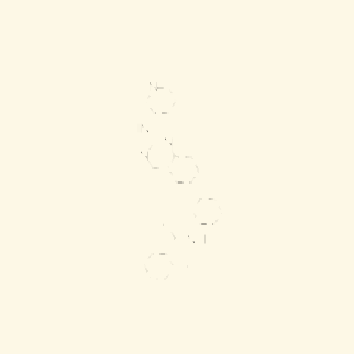 Cc1ccc(Nc2ncc3cc(-c4cc(NC(=O)c5ccccc5C(F)(F)F)ccc4C)cc(C)c3n2)cn1